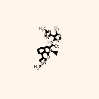 CCC(Nc1ncnc(N)c1-c1noc(C)n1)c1cc2cccc(-c3cnn(C)c3)c2c(=O)n1C1CC1